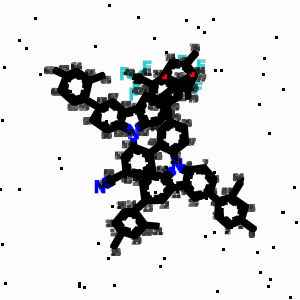 Cc1ccc(-c2ccc3c(c2)c2cc(-c4ccc(C)cc4C)ccc2n3-c2ccc(-c3cc(C(F)(F)F)cc(C(F)(F)F)c3)cc2-c2ccc(C#N)cc2-n2c3ccc(-c4ccc(C)cc4C)cc3c3cc(-c4ccc(C)cc4C)ccc32)c(C)c1